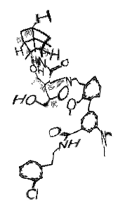 COc1c(CN2O[C@@H](CO)[C@@H]([C@H](C)O)[C@H]2C(=O)N[C@H]2C[C@H]3C[C@@H]([C@@H]2C)C3(C)C)cccc1-c1cc(C(=O)NCCc2cccc(Cl)c2)cc(N(C)C)c1